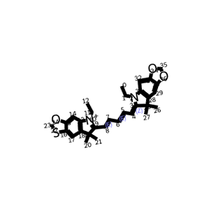 CCN1\C(=C/C=C/C=C/C2=[N+](CC)c3cc4c(cc3C2(C)C)SCO4)C(C)(C)c2cc3c(cc21)OCO3